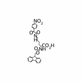 O=C(N[C@@H](CCCCNC(=O)C(=O)c1ccc([N+](=O)[O-])cc1)C(=O)O)OCC1c2ccccc2-c2ccccc21